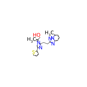 Cc1cccc2nc(CCc3nc(-c4cccs4)cn3[C@@H](C)CO)nn12